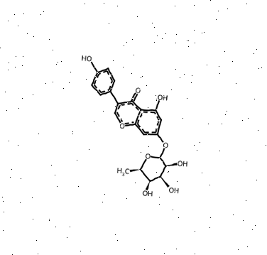 C[C@H]1OC(Oc2cc(O)c3c(=O)c(-c4ccc(O)cc4)coc3c2)[C@@H](O)[C@@H](O)[C@H]1O